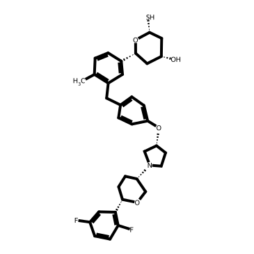 Cc1ccc([C@H]2C[C@@H](O)C[C@@H](S)O2)cc1Cc1ccc(O[C@@H]2CCN([C@H]3CC[C@@H](c4cc(F)ccc4F)OC3)C2)cc1